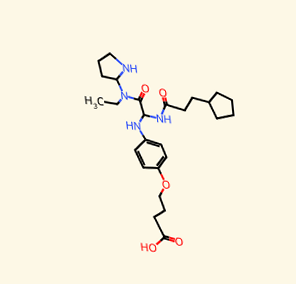 CCN(C(=O)C(NC(=O)CCC1CCCC1)Nc1ccc(OCCCC(=O)O)cc1)C1CCCN1